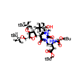 Cn1cc([C@@H]2O[C@H](CO[Si](C)(C)C(C)(C)C)C(O[Si](C)(C)C(C)(C)C)[C@@H]2CC(C)(C)[Si](C)(C)O)c(=O)n(C[C@H](CC(=O)OC(C)(C)C)NC(=O)OC(C)(C)C)c1=O